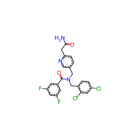 NC(=O)Cc1ccc(CN(Cc2ccc(Cl)cc2Cl)C(=O)c2cc(F)cc(F)c2)cn1